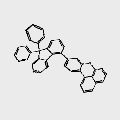 c1ccc(C2(c3ccccc3)c3ccccc3-c3c(-c4ccc5c(c4)Sc4cccc6cccc-5c46)cccc32)cc1